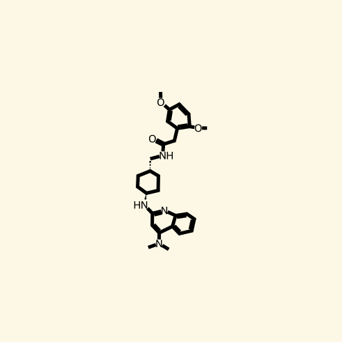 COc1ccc(OC)c(CC(=O)NC[C@H]2CC[C@@H](Nc3cc(N(C)C)c4ccccc4n3)CC2)c1